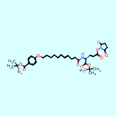 CC(C)(C)OC(=O)c1ccc(OCCCCCCCCCCC(=O)N[C@@H](CCC(=O)ON2C(=O)CCC2=O)C(=O)OC(C)(C)C)cc1